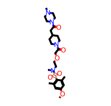 COc1cc(C)c(S(=O)(=O)N(C)CCOCC(=O)N2CCC(CC(=O)N3CCN(C)CC3)CC2)c(C)c1